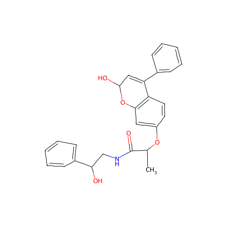 CC(Oc1ccc2c(c1)OC(O)C=C2c1ccccc1)C(=O)NCC(O)c1ccccc1